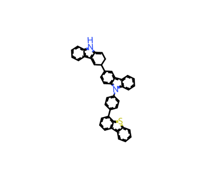 C1=c2[nH]c3ccccc3c2=CC(c2ccc3c(c2)c2ccccc2n3-c2ccc(-c3cccc4c3sc3ccccc34)cc2)C1